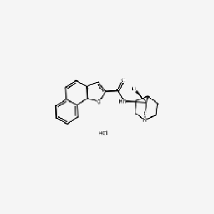 Cl.O=C(N[C@H]1CN2CCC1CC2)c1cc2ccc3ccccc3c2o1